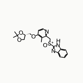 Cc1c(OC[C@@H]2COC(C)(C)O2)ccnc1C[S+]([O-])c1nc2ccccc2[nH]1